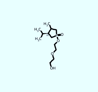 CC(C)[C@@H]1CP(=O)(OCCOCCO)CC1C